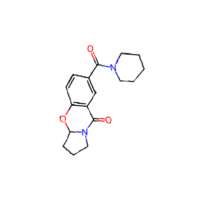 O=C(c1ccc2c(c1)C(=O)N1CCCC1O2)N1CCCCC1